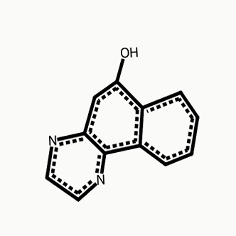 Oc1cc2nccnc2c2ccccc12